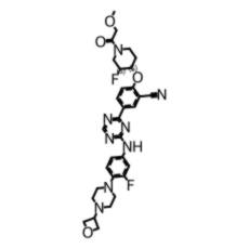 COCC(=O)N1CC[C@H](Oc2ccc(-c3ncnc(Nc4ccc(N5CCN(C6COC6)CC5)c(F)c4)n3)cc2C#N)[C@@H](F)C1